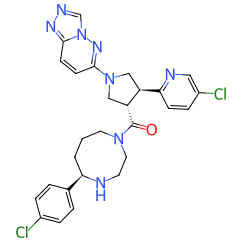 O=C([C@@H]1CN(c2ccc3nncn3n2)C[C@H]1c1ccc(Cl)cn1)N1CCC[C@H](c2ccc(Cl)cc2)NCC1